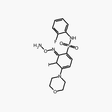 NO/N=C1/C(S(=O)(=O)Nc2ccccc2F)=CC=C(N2CCOCC2)C1I